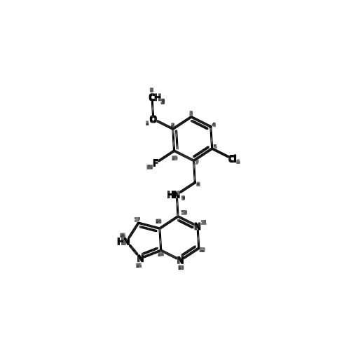 COc1ccc(Cl)c(CNc2ncnc3n[nH]cc23)c1F